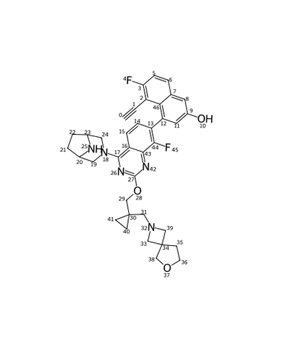 C#Cc1c(F)ccc2cc(O)cc(-c3ccc4c(N5CC6CCC(C5)N6)nc(OCC5(CN6CC7(CCOC7)C6)CC5)nc4c3F)c12